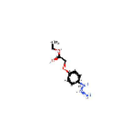 CCOC(=O)COc1ccc(NN=N)cc1